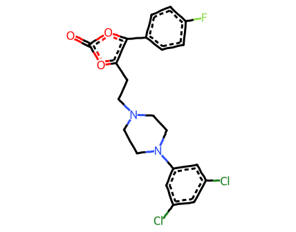 O=c1oc(CCN2CCN(c3cc(Cl)cc(Cl)c3)CC2)c(-c2ccc(F)cc2)o1